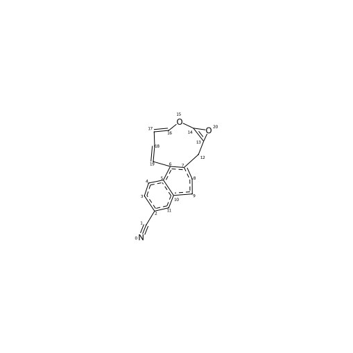 N#Cc1ccc2c3c(ccc2c1)CC1=C(O/C=C/C=C\3)O1